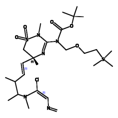 C=N/C=C(/Cl)N(C)C(C)C(C)/C=C/[C@]1(C)CS(=O)(=O)N(C)C(N(COCC[Si](C)(C)C)C(=O)OC(C)(C)C)=N1